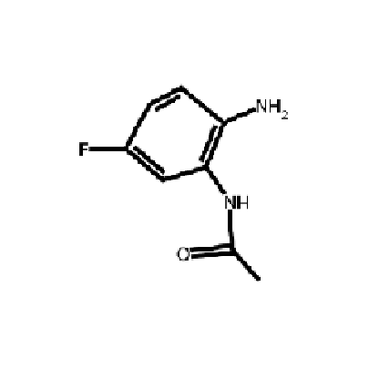 CC(=O)Nc1cc(F)ccc1N